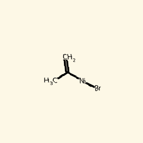 C=[C](C)[Ni][Br]